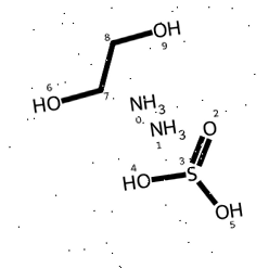 N.N.O=S(O)O.OCCO